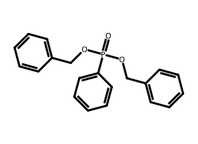 O=P(OCc1ccccc1)(OCc1ccccc1)c1ccccc1